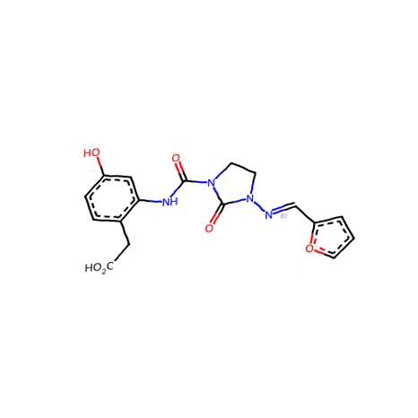 O=C(O)Cc1ccc(O)cc1NC(=O)N1CCN(/N=C/c2ccco2)C1=O